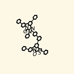 O=c1c2sc(-c3ccccc3)cc2c2cc(-c3cccc(-c4ccc(-c5nc6c7cc(-c8ccccc8)cc8c9cc(-c%10ccccc%10)ccc9n(c(=O)c6n5-c5ccccc5)c87)cc4)c3)cc3c4cc(-c5ccccc5)ccc4n1c23